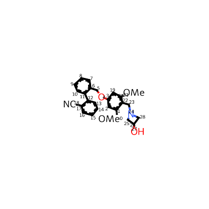 COc1cc(OCc2ccccc2-c2ccccc2C#N)cc(OC)c1CN1CC(O)C1